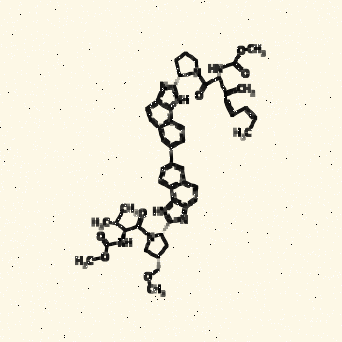 C=C(/C=C\C=C/C)[C@@H](NC(=O)OC)C(=O)N1CCC[C@H]1c1nc2ccc3cc(-c4ccc5c(ccc6nc([C@@H]7C[C@H](COC)CN7C(=O)[C@@H](NC(=O)OC)C(C)C)[nH]c65)c4)ccc3c2[nH]1